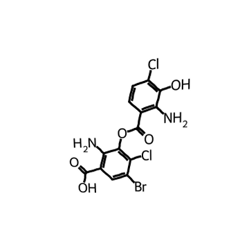 Nc1c(C(=O)Oc2c(N)c(C(=O)O)cc(Br)c2Cl)ccc(Cl)c1O